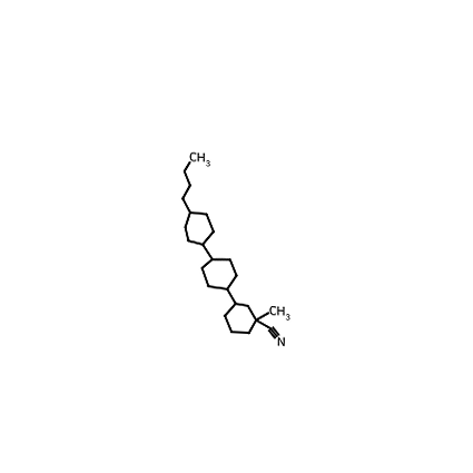 CCCCC1CCC(C2CCC(C3CCCC(C)(C#N)C3)CC2)CC1